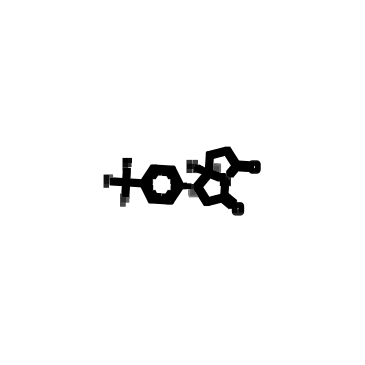 O=C1CC[C@H]2[C@@H](c3ccc(C(F)(F)F)cc3)CC(=O)N12